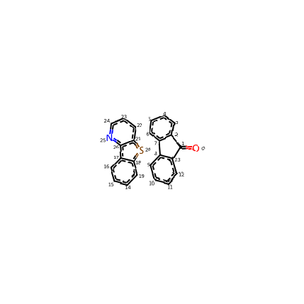 O=C1c2ccccc2-c2ccccc21.c1ccc2c(c1)sc1cccnc12